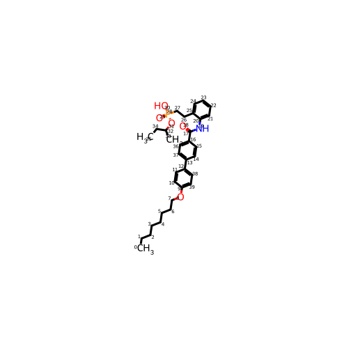 CCCCCCCCOc1ccc(-c2ccc(C(=O)Nc3ccccc3CCP(=O)(O)OC(C)CC)cc2)cc1